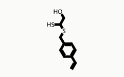 C=Cc1ccc(CSC(S)CO)cc1